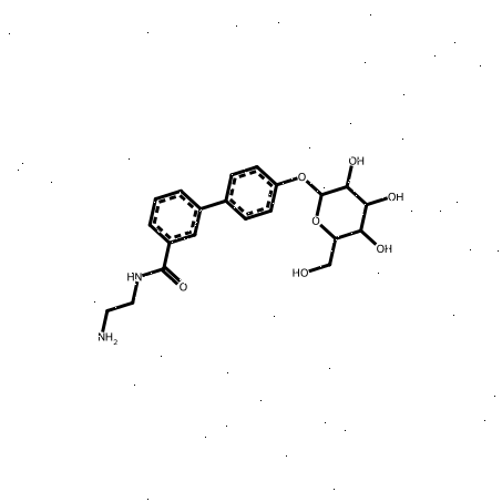 NCCNC(=O)c1cccc(-c2ccc(OC3OC(CO)C(O)C(O)C3O)cc2)c1